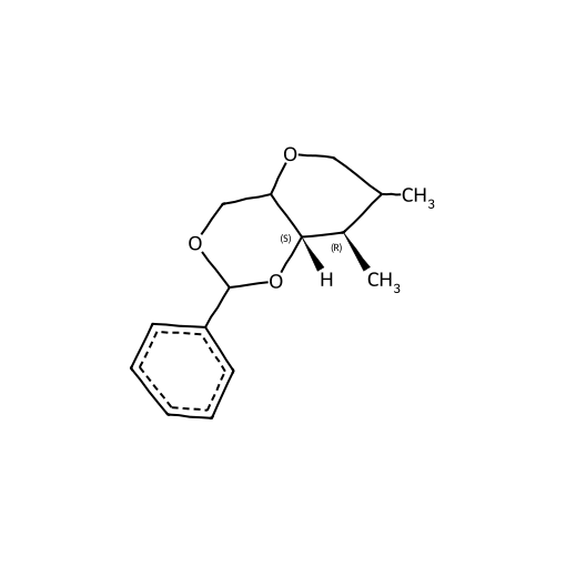 CC1COC2COC(c3ccccc3)O[C@H]2[C@@H]1C